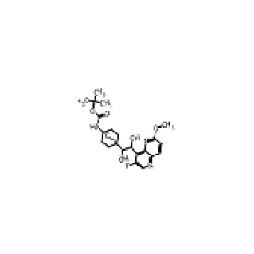 COc1ccc2ncc(F)c(C(O)C(O)C34CCC(NC(=O)OC(C)(C)C)(CC3)CO4)c2n1